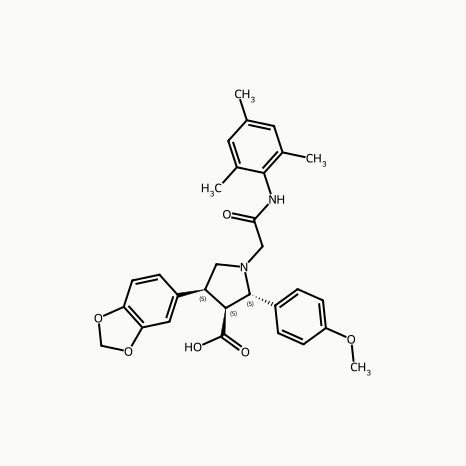 COc1ccc([C@@H]2[C@@H](C(=O)O)[C@@H](c3ccc4c(c3)OCO4)CN2CC(=O)Nc2c(C)cc(C)cc2C)cc1